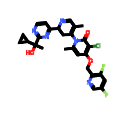 CC1=C(n2c(C)cc(OCc3ncc(F)cc3F)c(Cl)c2=O)CC(c2ccnc(C(C)(O)C3CC3)n2)N=C1